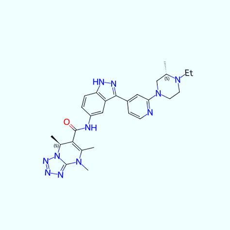 CCN1CCN(c2cc(-c3n[nH]c4ccc(NC(=O)C5=C(C)N(C)c6nnnn6[C@H]5C)cc34)ccn2)C[C@@H]1C